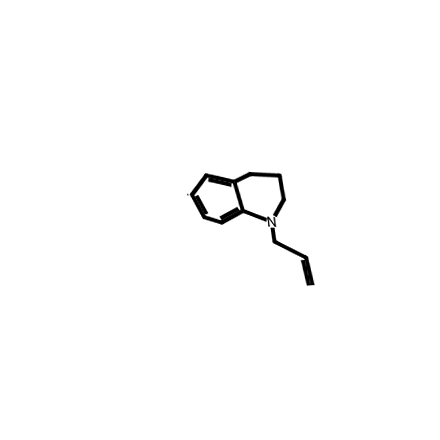 C=CCN1CCCc2c[c]ccc21